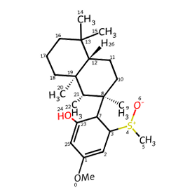 COC1=CC([S+](C)[O-])C([C@]2(C)CC[C@H]3C(C)(C)CCC[C@]3(C)[C@H]2C)C(O)=C1